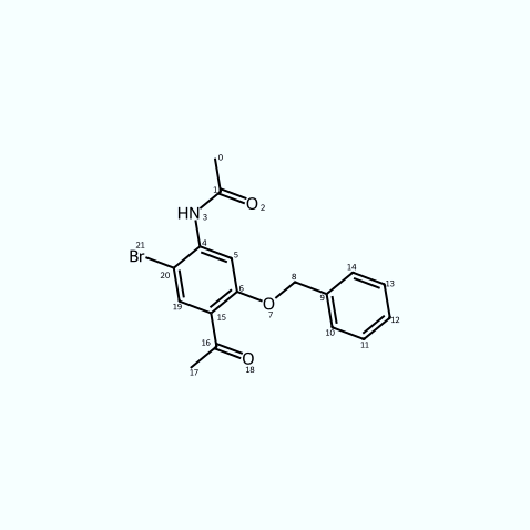 CC(=O)Nc1cc(OCc2ccccc2)c(C(C)=O)cc1Br